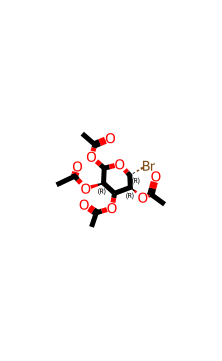 CC(=O)OC1O[C@H](Br)[C@H](OC(C)=O)C(OC(C)=O)[C@H]1OC(C)=O